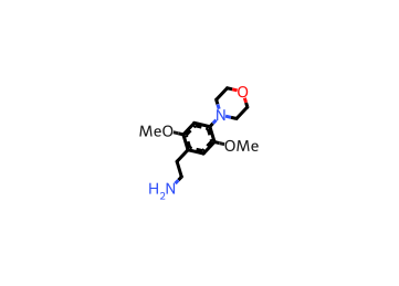 COc1cc(N2CCOCC2)c(OC)cc1CCN